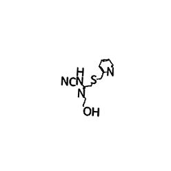 N#CN/C(CSCc1ccccn1)=N/CCO